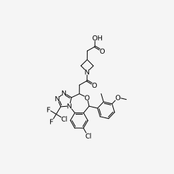 COc1cccc(C2OC(CC(=O)N3CC(CC(=O)O)C3)c3nnc(C(F)(F)Cl)n3-c3ccc(Cl)cc32)c1C